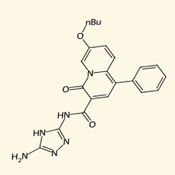 CCCCOc1ccc2c(-c3ccccc3)cc(C(=O)Nc3nnc(N)[nH]3)c(=O)n2c1